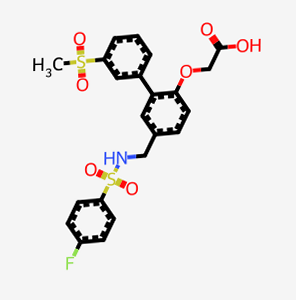 CS(=O)(=O)c1cccc(-c2cc(CNS(=O)(=O)c3ccc(F)cc3)ccc2OCC(=O)O)c1